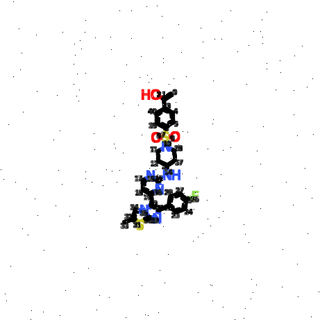 C=C(O)c1ccc(S(=O)(=O)N2CCC(Nc3nccc(-c4c(-c5ccc(F)cc5)nc5sc(C)cn45)n3)CC2)cc1